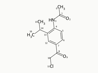 CC(=O)Nc1ccc(C(=O)CCl)cc1C(C)C